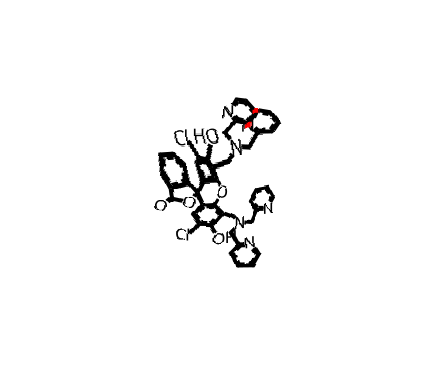 O=C1OC2(c3ccccc31)c1cc(Cl)c(O)c(CN(Cc3ccccn3)Cc3ccccn3)c1Oc1c2cc(Cl)c(O)c1CN(Cc1ccccn1)Cc1ccccn1